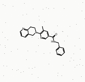 Cc1cc(C(=O)NCc2ccccc2)cnc1N1CCc2ncccc2C1